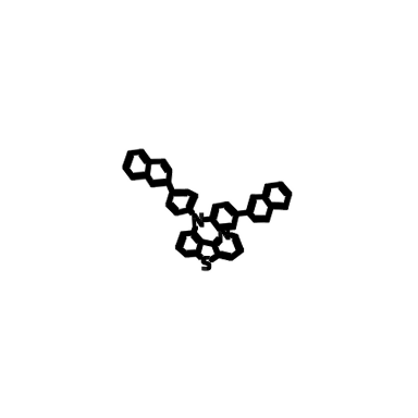 c1ccc2cc(-c3ccc(N(c4ccc(-c5ccc6ccccc6c5)cc4)c4cccc5sc6cccnc6c45)cc3)ccc2c1